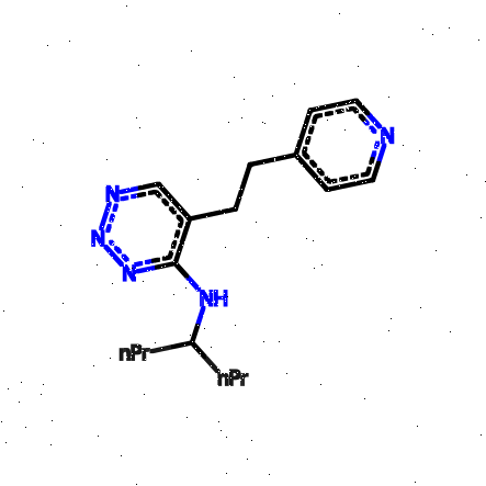 CCCC(CCC)Nc1nnncc1CCc1ccncc1